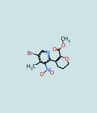 COC(=O)C1=C(c2ncc(Br)c(C)c2[N+](=O)[O-])CCCO1